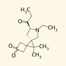 CCC(=O)[C@@H]1C[C@]2(CN1CC)C(C)(C)C21CS(=O)(=O)C1